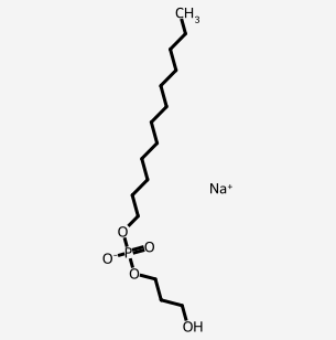 CCCCCCCCCCCCOP(=O)([O-])OCCCO.[Na+]